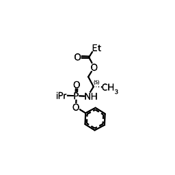 CCC(=O)OC[C@H](C)NP(=O)(Oc1ccccc1)C(C)C